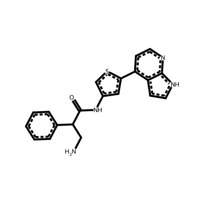 NCC(C(=O)Nc1csc(-c2ccnc3[nH]ccc23)c1)c1ccccc1